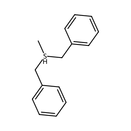 C[SH](Cc1ccccc1)Cc1ccccc1